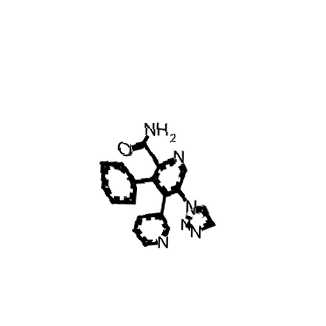 NC(=O)c1ncc(-n2ccnn2)c(-c2cccnc2)c1-c1ccccc1